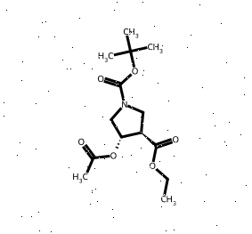 CCOC(=O)[C@@H]1CN(C(=O)OC(C)(C)C)C[C@H]1OC(C)=O